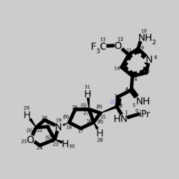 CC(C)N/C(=C\C(=N)c1cnc(N)c(OC(F)(F)F)c1)[C@H]1[C@@H]2C[C@H](N3C[C@@H]4C[C@H]3CO4)C[C@@H]21